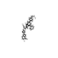 CC(=O)N1c2ccc(-c3ccc(CN(C)Cc4cc5nc(-c6cnc(N)nc6)nc(N6CCOCC6)c5s4)cc3)cc2CC[C@@H]1C